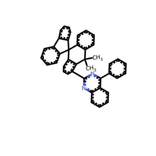 CC1(C)c2ccccc2C2(c3ccccc3-c3ccccc32)c2cccc(-c3nc(-c4ccccc4)c4ccccc4n3)c21